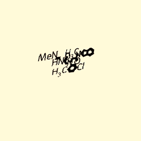 CNCCNC(=O)CN(CC(=O)N(C)N1Cc2ccccc2C1)c1cc(Cl)ccc1C